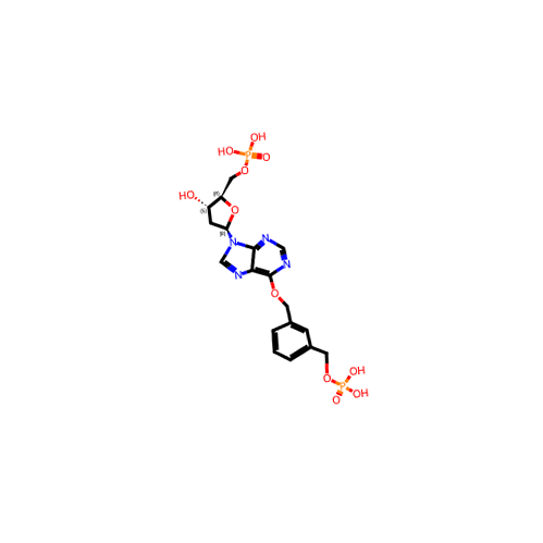 O=P(O)(O)OCc1cccc(COc2ncnc3c2ncn3[C@H]2C[C@H](O)[C@@H](COP(=O)(O)O)O2)c1